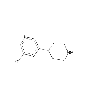 Clc1cncc(C2CCNCC2)c1